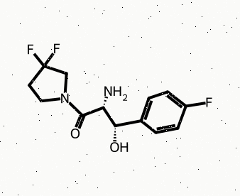 N[C@@H](C(=O)N1CCC(F)(F)C1)[C@@H](O)c1ccc(F)cc1